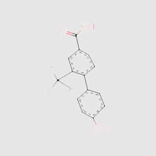 O=C(O)c1ccc(-c2ccc(O)cc2)c(C(F)(F)F)c1